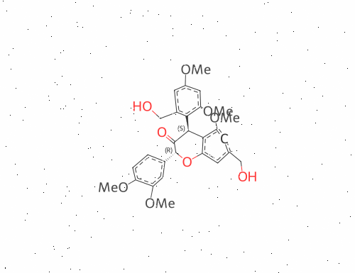 COc1cc(CO)c([C@@H]2C(=O)[C@@H](c3ccc(OC)c(OC)c3)Oc3cc(CO)cc(OC)c32)c(OC)c1